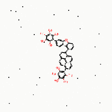 Oc1c(O)c(O)c(-c2ccc3c(c2)oc2cccc(-c4ccc5ccc6c(-c7c(O)c(O)c(O)c(O)c7O)ccc7ccc4c5c76)c23)c(O)c1O